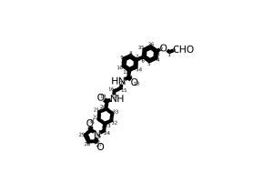 O=CCOc1ccc(-c2cccc(C(=O)NCCNC(=O)C3CCC(CN4C(=O)C=CC4=O)CC3)c2)cc1